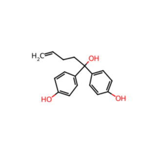 C=CCCC(O)(c1ccc(O)cc1)c1ccc(O)cc1